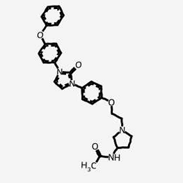 CC(=O)NC1CCN(CCOc2ccc(-n3ccn(-c4ccc(Oc5ccccc5)cc4)c3=O)cc2)C1